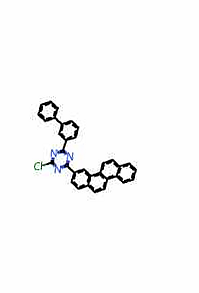 Clc1nc(-c2cccc(-c3ccccc3)c2)nc(-c2ccc3ccc4c5ccccc5ccc4c3c2)n1